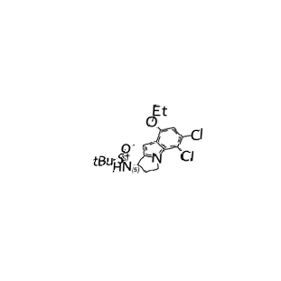 CCOc1cc(Cl)c(Cl)c2c1cc1n2CC[C@@H]1N[S@+]([O-])C(C)(C)C